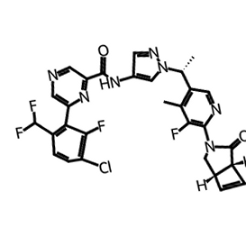 Cc1c([C@@H](C)n2cc(NC(=O)c3cncc(-c4c(C(F)F)ccc(Cl)c4F)n3)cn2)cnc(N2C[C@H]3C=C[C@H]3C2=O)c1F